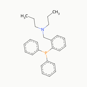 CCCN(CCC)Cc1ccccc1P(c1ccccc1)c1ccccc1